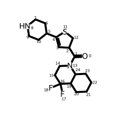 O=C(C1C=C(C2CCNCC2)SC1)N1CCC(F)(F)C2CCCCC21